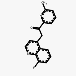 Cc1cccc(C(=O)Cc2ccnc3c(F)cccc23)n1